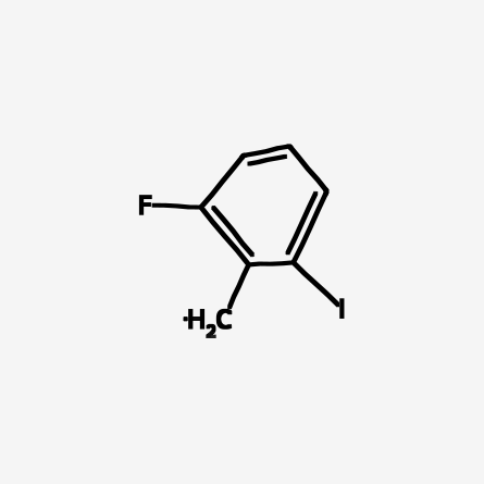 [CH2]c1c(F)cccc1I